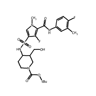 Cc1cc(NC(=O)c2c(F)c(S(=O)(=O)NC3CCN(C(=O)OC(C)(C)C)CC3CO)cn2C)ccc1F